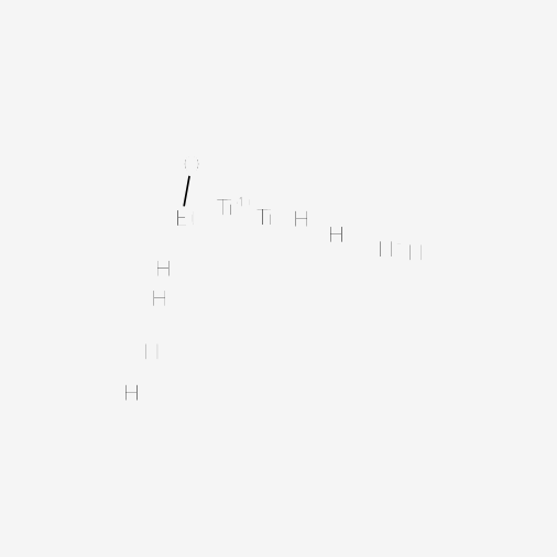 CC[O-].[H-].[H-].[H-].[H-].[H-].[H-].[H-].[H-].[Ti+4].[Ti]